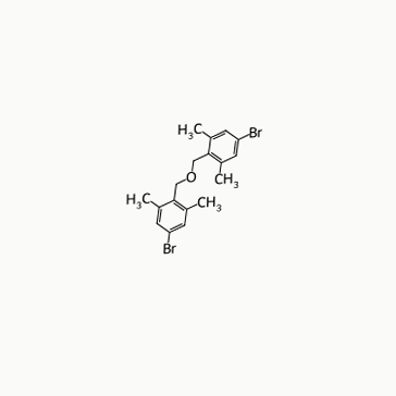 Cc1cc(Br)cc(C)c1COCc1c(C)cc(Br)cc1C